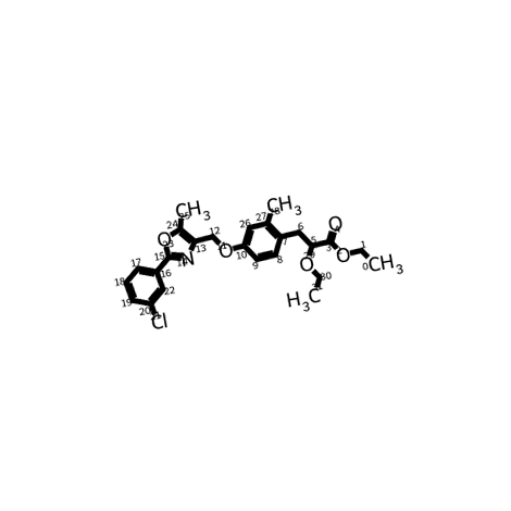 CCOC(=O)C(Cc1ccc(OCc2nc(-c3cccc(Cl)c3)oc2C)cc1C)OCC